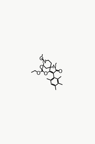 CCOC(=O)OC1=C(c2c(C)cc(C)c(C)c2C)C(=O)N(C)C12CCN(OC)CC2